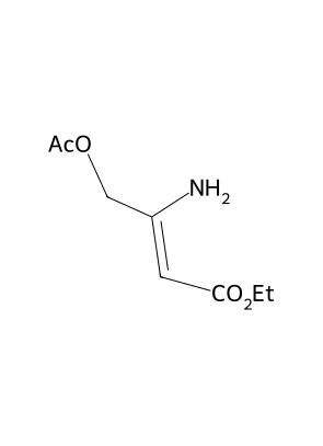 CCOC(=O)C=C(N)COC(C)=O